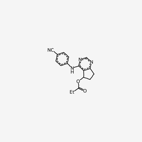 CCC(=O)OC1CCc2ncnc(Nc3ccc(C#N)cc3)c21